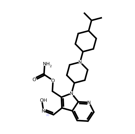 CC(C)C1CCC(N2CCC(n3c(COC(N)=O)c(/C=N\O)c4cccnc43)CC2)CC1